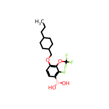 CCCC1CCC(COc2ccc(B(O)O)c(F)c2OC(F)(F)F)CC1